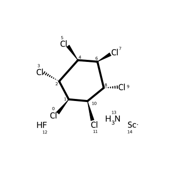 Cl[C@H]1[C@H](Cl)[C@@H](Cl)[C@@H](Cl)[C@H](Cl)[C@H]1Cl.F.N.[Sc]